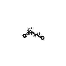 O=C(CCc1ccccc1)NCCC(NC(=O)CCc1ccccc1)C(F)F